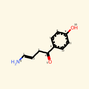 NC=CCC(=O)c1ccc(O)cc1